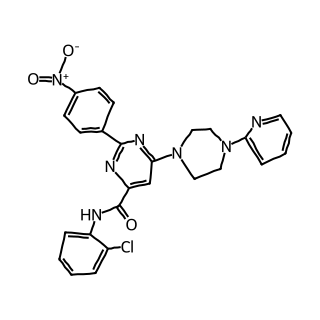 O=C(Nc1ccccc1Cl)c1cc(N2CCN(c3ccccn3)CC2)nc(-c2ccc([N+](=O)[O-])cc2)n1